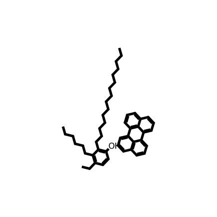 CCCCCCCCCCCCCCCc1c(O)ccc(CC)c1CCCCCC.c1cc2cccc3c4cccc5cccc(c(c1)c23)c54